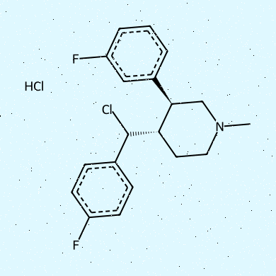 CN1CC[C@H](C(Cl)c2ccc(F)cc2)[C@@H](c2cccc(F)c2)C1.Cl